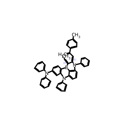 C=C(/C=C1\C(=C/C)B2c3ccc(N(c4ccccc4)c4ccccc4)cc3N(c3ccccc3)c3cccc(c32)N1c1ccccc1)c1ccc(C)cc1